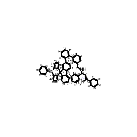 N/C(=C\C(NCc1cccc(-c2ccccc2-c2ccc3c(c2)C2(c4ccccc4-3)c3ccccc3N(c3ccccc3)c3ccccc32)c1)c1ccccc1)c1ccccc1